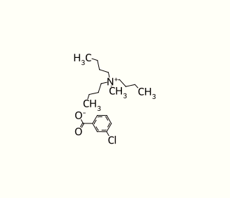 CCCC[N+](C)(CCCC)CCCC.O=C([O-])c1cccc(Cl)c1